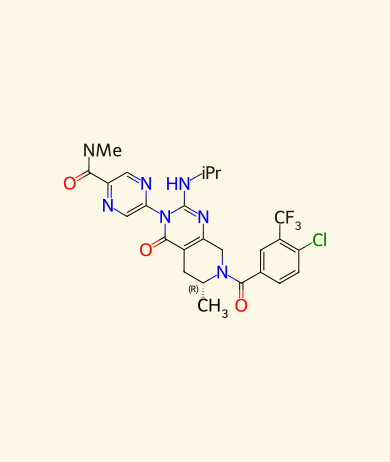 CNC(=O)c1cnc(-n2c(NC(C)C)nc3c(c2=O)C[C@@H](C)N(C(=O)c2ccc(Cl)c(C(F)(F)F)c2)C3)cn1